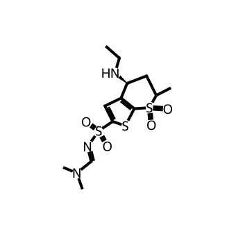 CCN[C@H]1CC(C)S(=O)(=O)c2sc(S(=O)(=O)/N=C/N(C)C)cc21